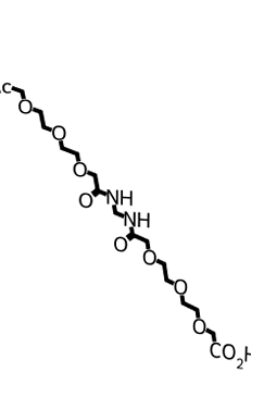 CC(=O)COCCOCCOCC(=O)NCNC(=O)COCCOCCOCC(=O)O